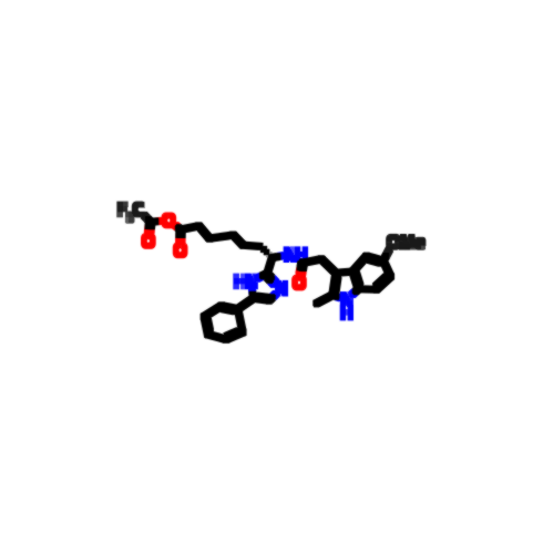 COc1ccc2[nH]c(C)c(CC(=O)N[C@@H](CCCCCC(=O)OC(=O)C(F)(F)F)c3ncc(-c4ccccc4)[nH]3)c2c1